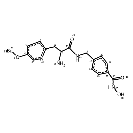 CCCCOc1ccc(CC(N)C(=O)NCc2ccc(C(=O)NO)cc2)nc1